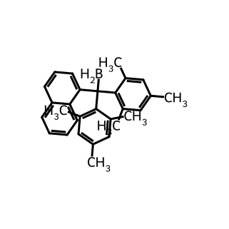 BC(c1c(C)cc(C)cc1C)(c1c(C)cc(C)cc1C)c1cccc2ccccc12